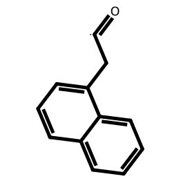 O=[C]Cc1cccc2ccccc12